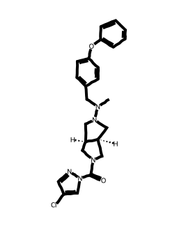 CN(Cc1ccc(Oc2ccccc2)cc1)N1C[C@H]2CN(C(=O)n3cc(Cl)cn3)C[C@H]2C1